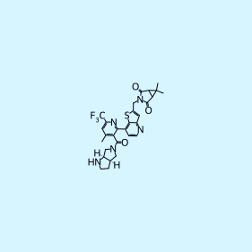 Cc1cc(C(F)(F)F)nc(-c2ccnc3cc(CN4C(=O)C5C(C4=O)C5(C)C)sc23)c1C(=O)N1C[C@H]2CCN[C@H]2C1